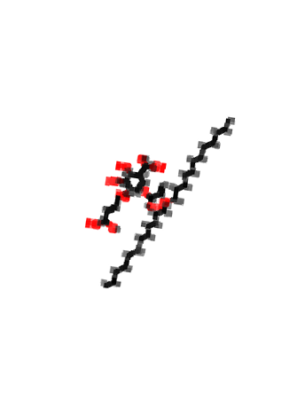 C=CC(=O)O.CC=CC(=O)O.CCCCCCCCCCCCOCCCCCCCCCCCC.O=C(O)c1ccc(O)c(O)c1O